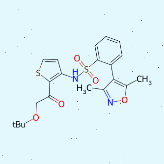 Cc1noc(C)c1-c1ccccc1S(=O)(=O)Nc1ccsc1C(=O)COC(C)(C)C